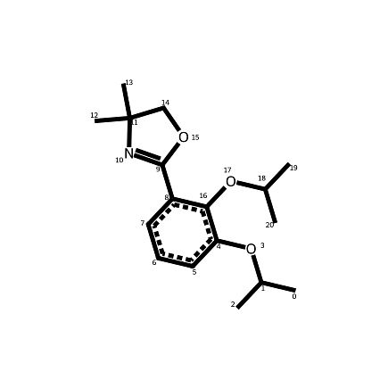 CC(C)Oc1cccc(C2=NC(C)(C)CO2)c1OC(C)C